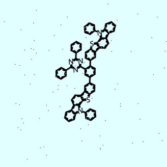 c1ccc(-c2nc(-c3ccccc3)nc(-c3cc(-c4ccc5sc6c(ccc7c8ccccc8n(-c8ccccc8)c76)c5c4)ccc3-c3ccc4sc5c(ccc6c7ccccc7n(-c7ccccc7)c65)c4c3)n2)cc1